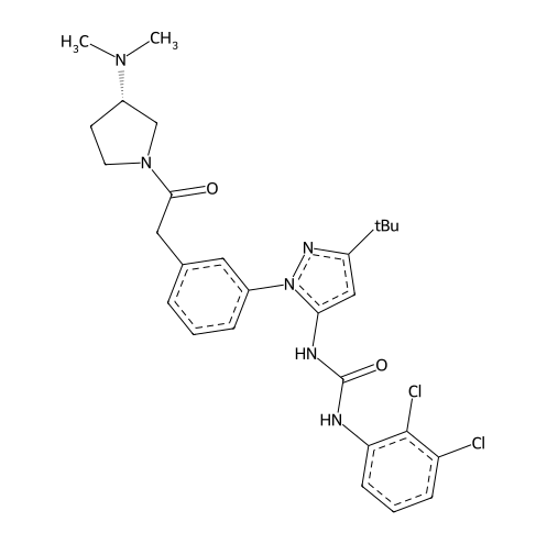 CN(C)[C@H]1CCN(C(=O)Cc2cccc(-n3nc(C(C)(C)C)cc3NC(=O)Nc3cccc(Cl)c3Cl)c2)C1